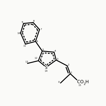 CC(=Cc1cc(-c2ccccc2)c(C)s1)C(=O)O